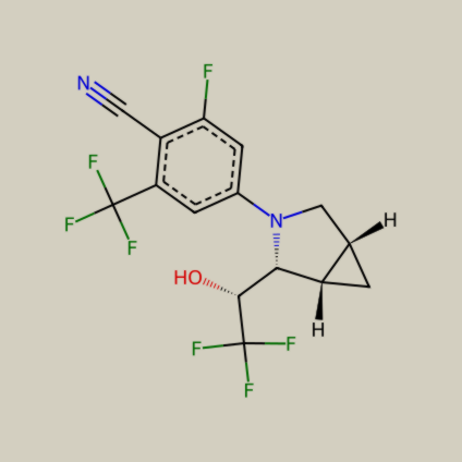 N#Cc1c(F)cc(N2C[C@@H]3C[C@@H]3[C@@H]2[C@@H](O)C(F)(F)F)cc1C(F)(F)F